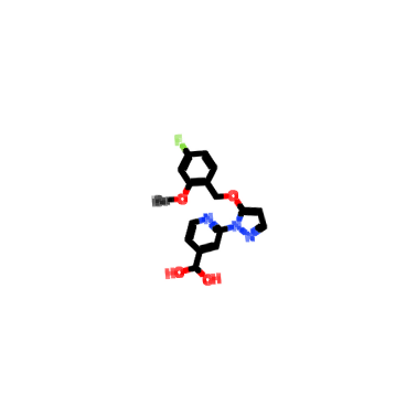 CCC(C)Oc1cc(F)ccc1COc1ccnn1-c1cc(C(O)O)ccn1